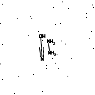 N#CO.NN